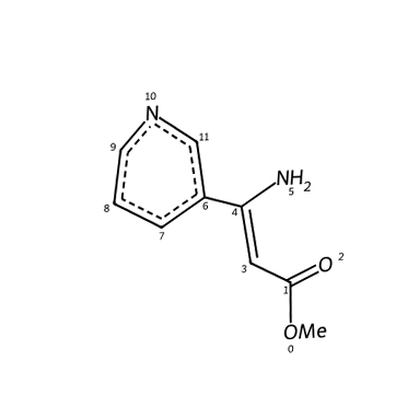 COC(=O)C=C(N)c1cccnc1